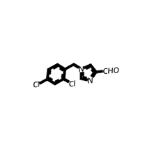 O=Cc1cn(Cc2ccc(Cl)cc2Cl)cn1